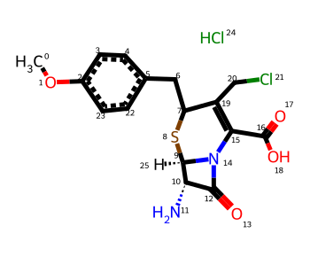 COc1ccc(CC2S[C@@H]3[C@@H](N)C(=O)N3C(C(=O)O)=C2CCl)cc1.Cl